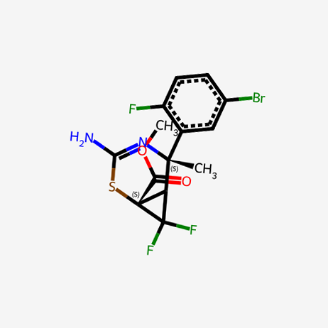 COC(=O)[C@@]12SC(N)=N[C@](C)(c3cc(Br)ccc3F)C1C2(F)F